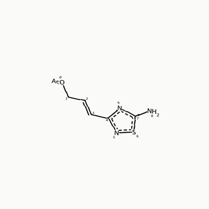 CC(=O)OCC=Cc1nsc(N)n1